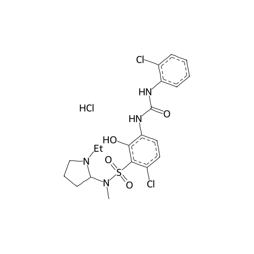 CCN1CCCC1N(C)S(=O)(=O)c1c(Cl)ccc(NC(=O)Nc2ccccc2Cl)c1O.Cl